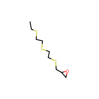 [CH2]CSCCSCCSCC1CO1